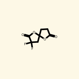 O=C1CCC2(CC(F)(F)C(=O)O2)O1